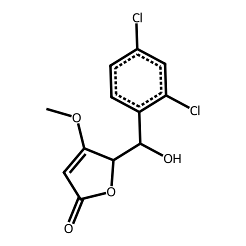 COC1=CC(=O)OC1C(O)c1ccc(Cl)cc1Cl